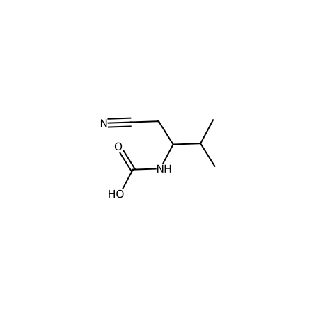 CC(C)C(CC#N)NC(=O)O